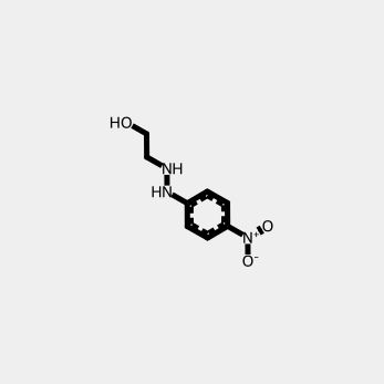 O=[N+]([O-])c1ccc(NNCCO)cc1